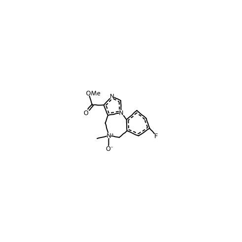 COC(=O)c1ncn2c1C[N+](C)([O-])Cc1cc(F)ccc1-2